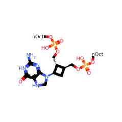 CCCCCCCCOP(=O)(O)OC[C@H]1C[C@@H](N2CNc3c2nc(N)[nH]c3=O)[C@@H]1COP(=O)(O)OCCCCCCCC